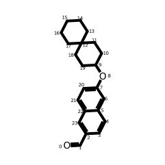 O=Cc1ccc2cc(OC3CCC4(CCCCC4)CC3)ccc2c1